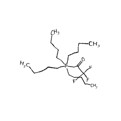 CCCCP(CCCC)(CCCC)(CCCC)C(=O)C(F)(F)F